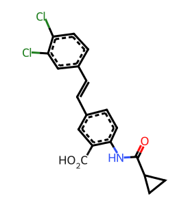 O=C(O)c1cc(/C=C/c2ccc(Cl)c(Cl)c2)ccc1NC(=O)C1CC1